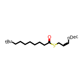 CCCCCCCCCC/C=C\CSC(=O)CCCCCCCC(C)(C)C